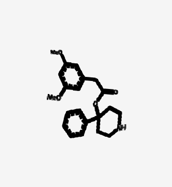 COc1cc(CC(=O)OC2(c3ccccc3)CCNCC2)cc(OC)c1